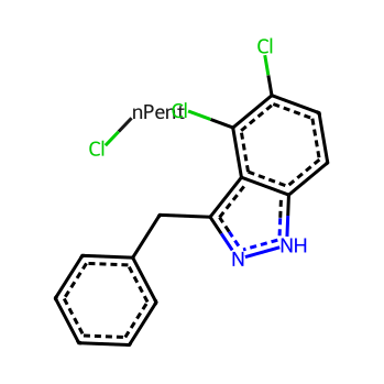 CCCCCCl.Clc1ccc2[nH]nc(Cc3ccccc3)c2c1Cl